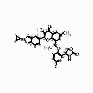 Cc1cc([C@@H](C)Oc2ccc(Cl)nc2-c2noc(=O)[nH]2)c2oc(-c3ccc4nn(C5CC5)cc4c3)c(C)c(=O)c2c1